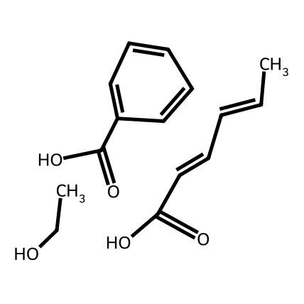 CC=CC=CC(=O)O.CCO.O=C(O)c1ccccc1